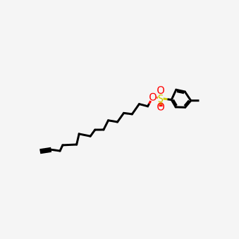 C#CCCCCCCCCCCCCCOS(=O)(=O)c1ccc(C)cc1